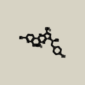 CC[C@@H](CN1CCN(C(C)=O)CC1)n1cc(C)c2nc(-c3ccc(C(C)C)nc3OC)c(C)nc21